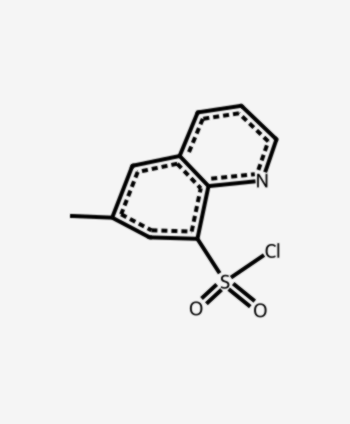 Cc1cc(S(=O)(=O)Cl)c2ncccc2c1